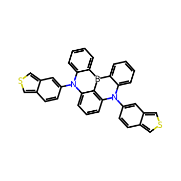 c1ccc2c(c1)B1c3ccccc3N(c3ccc4cscc4c3)c3cccc(c31)N2c1ccc2cscc2c1